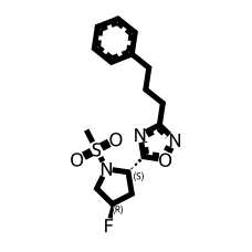 CS(=O)(=O)N1C[C@H](F)C[C@H]1c1nc(CCCc2ccccc2)no1